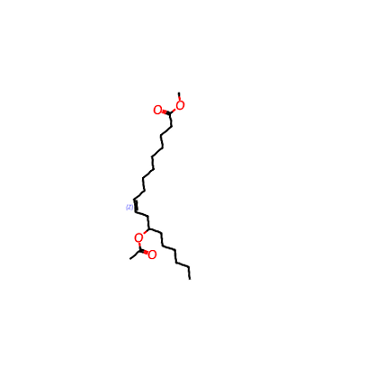 CCCCCCC(C/C=C\CCCCCCCC(=O)OC)OC(C)=O